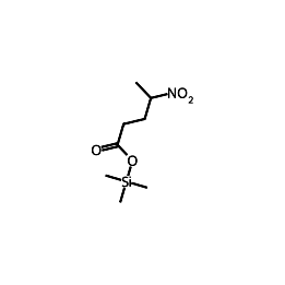 CC(CCC(=O)O[Si](C)(C)C)[N+](=O)[O-]